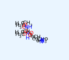 CC(C)(C)OC(=O)NCCCCC(NC(=O)OC(C)(C)C)C(=O)O[C@H]1CC[C@@]2(C)C(=CCC3C2CC[C@@]2(C)C3CC[C@@H]2c2cn(Cc3ccccc3)nn2)C1